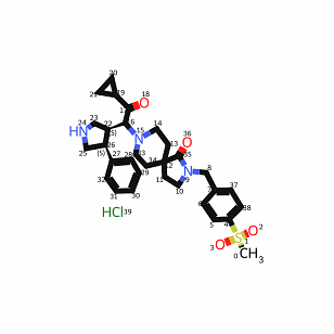 CS(=O)(=O)c1ccc(CN2CCC3(CCN(C(C(=O)C4CC4)[C@@H]4CNC[C@@H]4c4ccccc4)CC3)C2=O)cc1.Cl